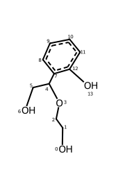 OCCOC(CO)c1ccccc1O